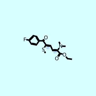 CCOC(=O)/C(=C/C=C(\SC)C(=O)c1ccc(F)cc1)N(C)C